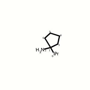 CC(C)C1(N)CCCC1